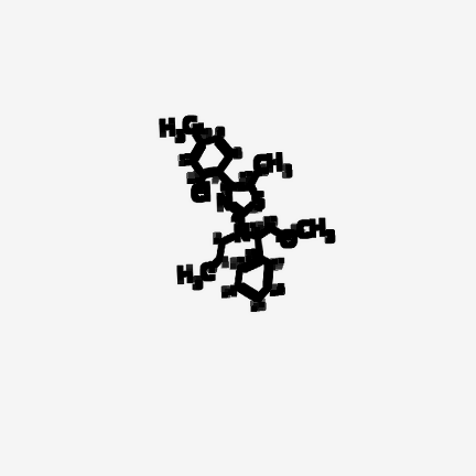 CCCN(c1nc(-c2ccc(C)cc2Cl)c(C)s1)C(COC)c1ccccc1